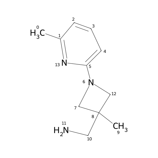 Cc1cccc(N2CC(C)(CN)C2)n1